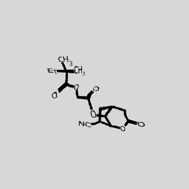 CCC(C)(C)C(=O)OCC(=O)OC1C2CC(=O)OC1C(C#N)C2